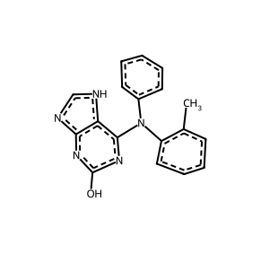 Cc1ccccc1N(c1ccccc1)c1nc(O)nc2nc[nH]c12